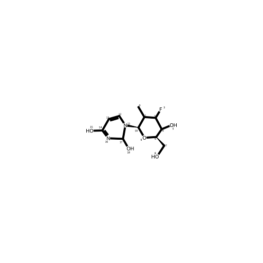 CC1C(F)C(O)[C@@H](CO)O[C@H]1N1C=CC(O)=NC1O